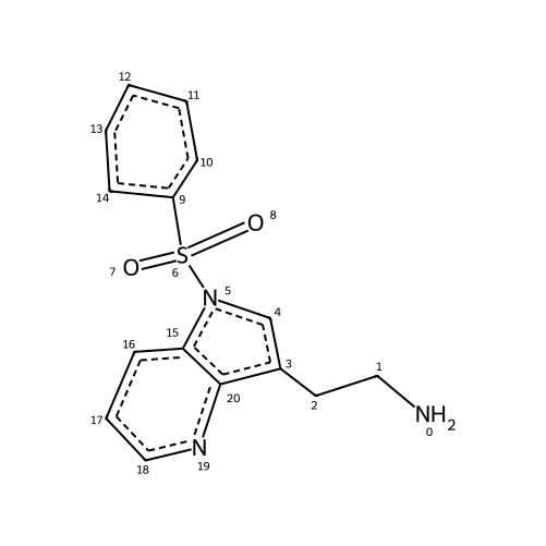 NCCc1cn(S(=O)(=O)c2ccccc2)c2cccnc12